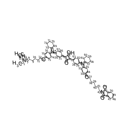 CC[N+](CC)(CC)CCCCCCOc1ccc([N+](=C2C=CC(=C3C(=O)C(c4ccc(N(c5ccc(OCCCCCCN6C(=O)c7ccccc7C6=O)cc5)C5CCCCC5)cc4)=C3O)C=C2)C2CCCCC2)cc1